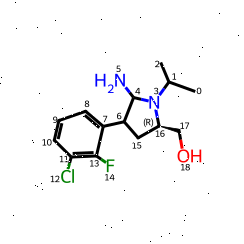 CC(C)N1C(N)C(c2cccc(Cl)c2F)C[C@@H]1CO